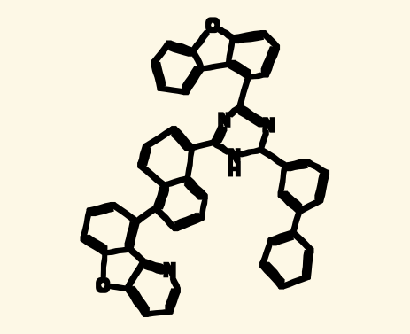 c1ccc(-c2cccc(C3N=C(c4cccc5oc6ccccc6c45)N=C(c4cccc5c(-c6cccc7oc8cccnc8c67)cccc45)N3)c2)cc1